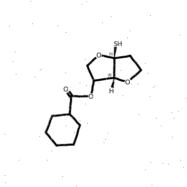 O=C(OC1CO[C@]2(S)CCO[C@H]12)C1CCCCC1